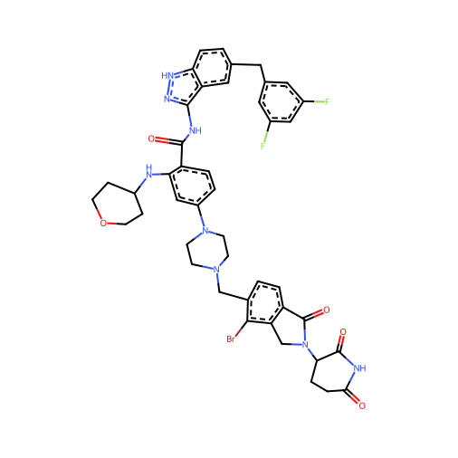 O=C1CCC(N2Cc3c(ccc(CN4CCN(c5ccc(C(=O)Nc6n[nH]c7ccc(Cc8cc(F)cc(F)c8)cc67)c(NC6CCOCC6)c5)CC4)c3Br)C2=O)C(=O)N1